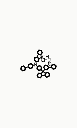 CC1(C)c2ccccc2-c2ccc(N(c3ccc(-c4ccccc4)cc3)c3ccc(C4(c5ccc6oc7ccccc7c6c5)c5ccccc5-c5ccccc54)cc3)cc21